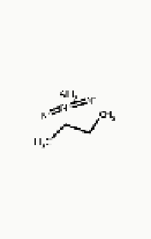 CCCC.[AlH3].[N-]=[N+]=[N-]